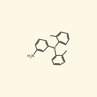 Cc1ccccc1N(c1cccc(N)c1)c1ccccc1C